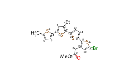 CCc1cc(-c2ccc(C)s2)sc1-c1ccc(-c2sc(Br)cc2CC(=O)OC)s1